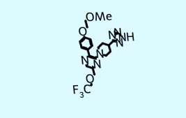 COCCOc1ccc(-c2ncc(COCC(F)(F)F)nc2N2CCC(c3nn[nH]n3)CC2)cc1